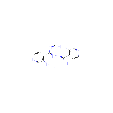 C=N/C(=N\N=C(/N)c1ccncc1N)c1ccncc1N